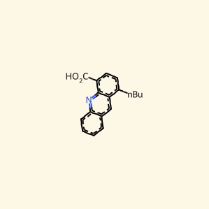 CCCCc1ccc(C(=O)O)c2nc3ccccc3cc12